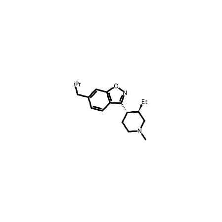 CC[C@H]1CN(C)CC[C@@H]1c1noc2cc(CC(C)C)ccc12